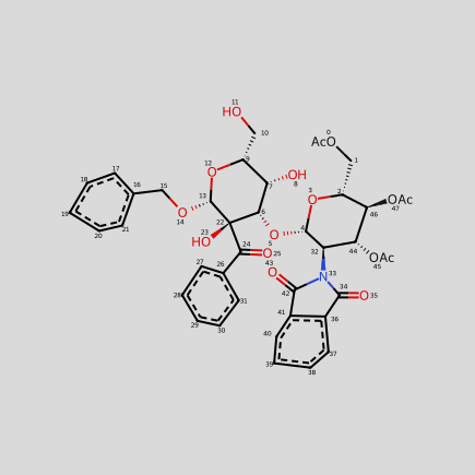 CC(=O)OC[C@H]1O[C@@H](O[C@H]2[C@@H](O)[C@@H](CO)O[C@@H](OCc3ccccc3)[C@@]2(O)C(=O)c2ccccc2)[C@H](N2C(=O)c3ccccc3C2=O)[C@@H](OC(C)=O)[C@@H]1OC(C)=O